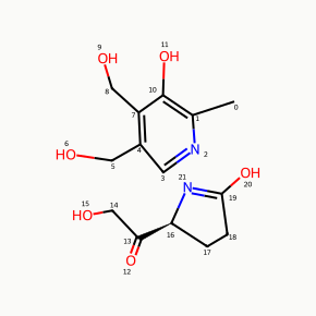 Cc1ncc(CO)c(CO)c1O.O=C(CO)[C@@H]1CCC(O)=N1